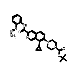 CC(C)(C)OC(=O)N1CCN(c2ccc3cc(C(=O)Nc4ccccc4N=NN)ncc3c2C2CC2)CC1